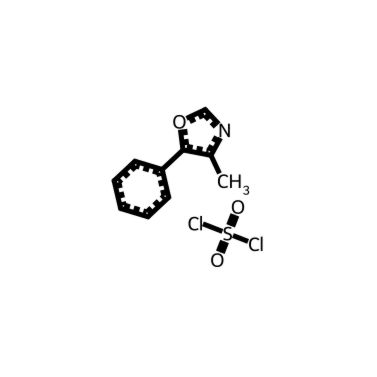 Cc1ncoc1-c1ccccc1.O=S(=O)(Cl)Cl